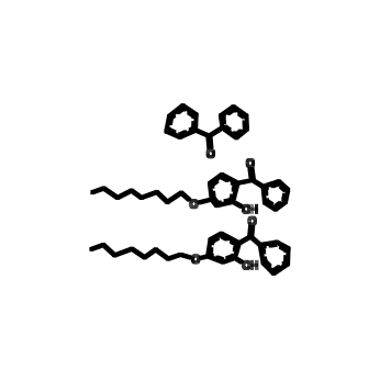 CCCCCCCCOc1ccc(C(=O)c2ccccc2)c(O)c1.CCCCCCCCOc1ccc(C(=O)c2ccccc2)c(O)c1.O=C(c1ccccc1)c1ccccc1